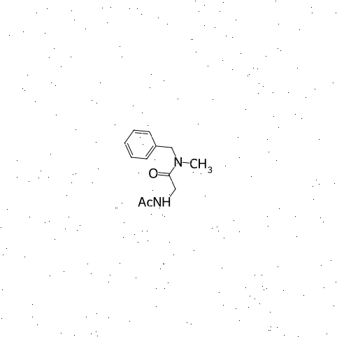 CC(=O)NCC(=O)N(C)Cc1ccccc1